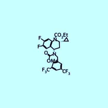 CCOC(=O)N1c2cc(F)c(F)cc2[C@@H](N(Cc2cc(C(F)(F)F)cc(C(F)(F)F)c2)C(=O)OC)C[C@H]1C1CC1